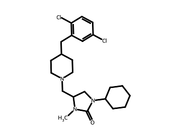 CN1C(=O)N(C2CCCCC2)CC1CN1CCC(Cc2cc(Cl)ccc2Cl)CC1